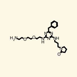 NCCOCCOCCNc1nc(Cc2ccccc2)nc(NCCCN2CCCC2=O)n1